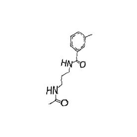 CC(=O)NCCCNC(=O)c1cccc(C)c1